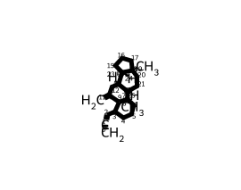 C=C=CC1CCC[C@@]2(C)C1C(=C)C[C@H]1[C@@H]3CCC[C@@]3(C)CC[C@@H]12